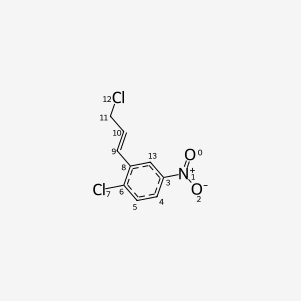 O=[N+]([O-])c1ccc(Cl)c(C=CCCl)c1